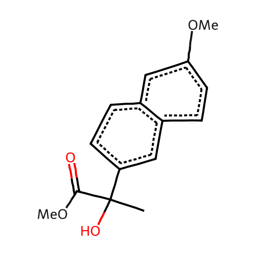 COC(=O)C(C)(O)c1ccc2cc(OC)ccc2c1